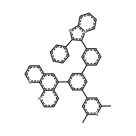 Cc1cc(-c2cc(-c3cccc(-c4c(-c5ccccc5)nc5ccccn45)c3)cc(-c3cc4cccnc4c4ncccc34)c2)cc(C)n1